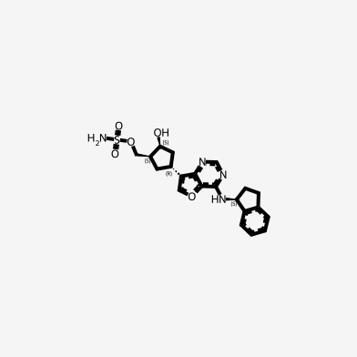 NS(=O)(=O)OC[C@@H]1C[C@@H](c2coc3c(N[C@H]4CCc5ccccc54)ncnc23)C[C@@H]1O